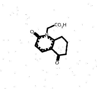 O=C(O)Cn1c2c(ccc1=O)C(=O)CCC2